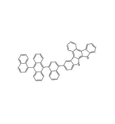 c1ccc2c(-c3c4ccccc4c(-c4ccc(-c5ccc6sc7c8sc9ccccc9c8c8ccccc8c7c6c5)c5ccccc45)c4ccccc34)cccc2c1